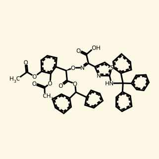 CC(=O)Oc1cccc([C@@H](ON=C(C(=O)O)c2csc(NC(c3ccccc3)(c3ccccc3)c3ccccc3)n2)C(=O)OC(c2ccccc2)c2ccccc2)c1OC(C)=O